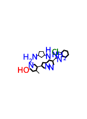 Cc1cc(O)ncc1-c1cc2c(N[C@@H]3CC[C@H](N)C3)c(/C(N)=N/c3ccccc3Cl)cnn2c1